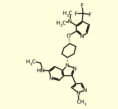 CCNc1cc2c(cn1)c(-c1cnn(C)c1)nn2[C@H]1CC[C@@H](Oc2nccc(C(F)(F)F)c2N(C)C)CC1